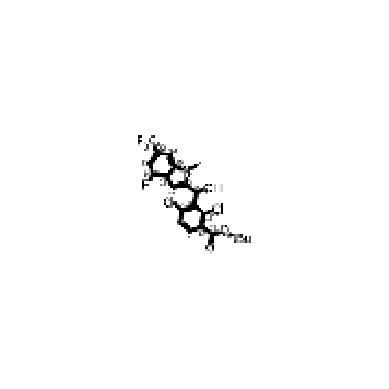 Cn1c(C(O)c2c(Cl)ccc(C(=O)OC(C)(C)C)c2Cl)cc2c(F)cc(C(F)(F)F)cc21